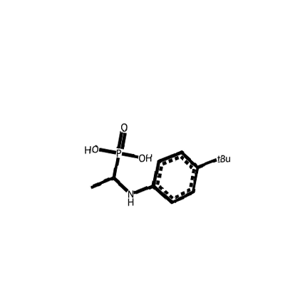 CC(Nc1ccc(C(C)(C)C)cc1)P(=O)(O)O